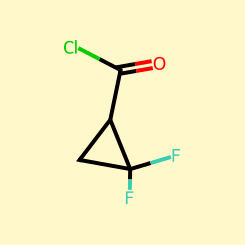 O=C(Cl)C1CC1(F)F